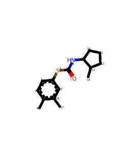 Cc1ccc(SC(=O)NC2CCCC2C)cc1C